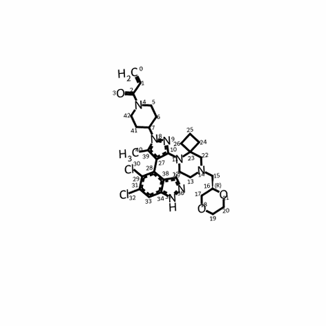 C=CC(=O)N1CCC(n2nc(N3CCN(C[C@@H]4COCCO4)CC34CCC4)c(-c3c(Cl)c(Cl)cc4[nH]ncc34)c2C)CC1